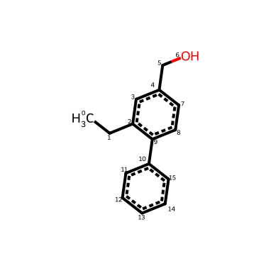 CCc1cc(CO)ccc1-c1ccccc1